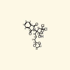 O=C1c2ccccc2C(=O)N1C(CCCC1OCCO1)(CC(Cl)(Cl)Cl)C(=O)O